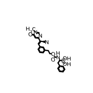 Cn1cnc(C(C#N)=Cc2cccc(CCOC(=O)NC(Cc3ccccc3)B(O)O)c2)cc1=O